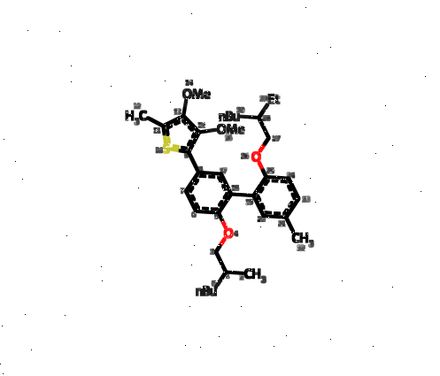 CCCCC(C)COc1ccc(-c2sc(C)c(OC)c2OC)cc1-c1cc(C)ccc1OCC(CC)CCCC